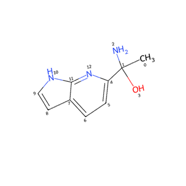 CC(N)(O)c1ccc2cc[nH]c2n1